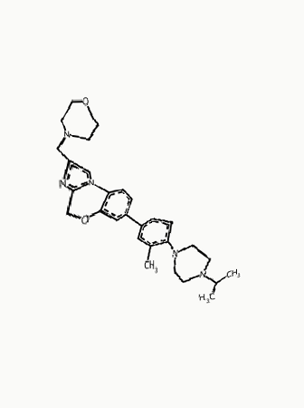 Cc1cc(-c2ccc3c(c2)OCc2nc(CN4CCOCC4)cn2-3)ccc1N1CCN(C(C)C)CC1